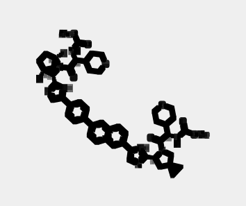 COC(=O)N[C@H](C(=O)N1CC2(CC2)C[C@H]1c1ncc(-c2ccc3cc(-c4ccc(-c5cnc([C@@H]6[C@H]7CC[C@H](C7)N6C(=O)[C@@H](NC(=O)OC)C6CCOCC6)[nH]5)cc4)ccc3c2)[nH]1)C1CCOCC1